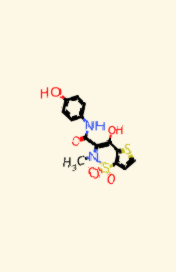 CN1C(C(=O)Nc2ccc(O)cc2)=C(O)c2sccc2S1(=O)=O